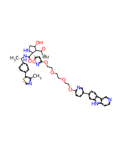 CCC(C)C(=O)C1C(O)CN[C@@]1(C(=O)N[C@@H](C)c1ccc(-c2scnc2C)cc1)c1cc(OCCOCCOCCOc2ccc(-c3ccc4c(c3)[nH]c3ccncc34)cn2)no1